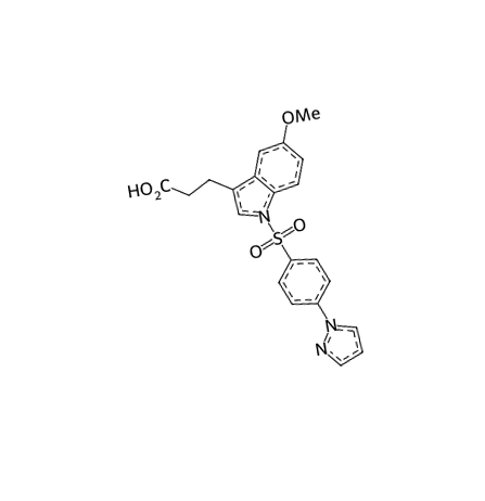 COc1ccc2c(c1)c(CCC(=O)O)cn2S(=O)(=O)c1ccc(-n2cccn2)cc1